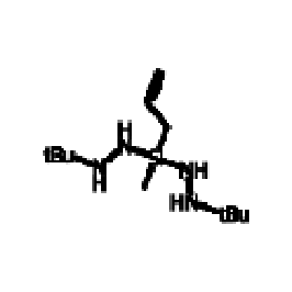 C=CC[Si](C)(NNC(C)(C)C)NNC(C)(C)C